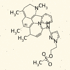 CC1=C2C[C@@H](C)C3=C(N=C(Nc4ccn(CCOS(C)(=O)=O)n4)C#CC3C)C2=C(c2ccccc2)N(C)CC1